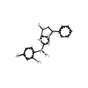 Nc1cc(Cl)ccc1N(N)c1nc2n(n1)C(c1ccccc1)CC2F